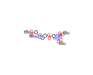 CC(C)(C)CN(Cc1ccc2cc(OC(=O)c3ccc(N/C(=N\C(=O)OC(C)(C)C)NC(=O)OC(C)(C)C)cc3)ccc2n1)C(=O)c1cccc(C(=O)OC(C)(C)C)c1